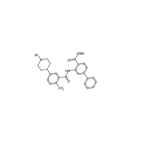 COC(=O)c1ccc(-c2ccccc2)cc1NC(=O)c1cc(C2CCN(C(C)C)CC2)ccc1C